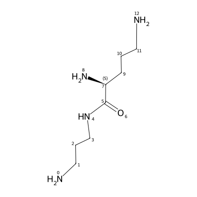 NCCCNC(=O)[C@@H](N)CCCN